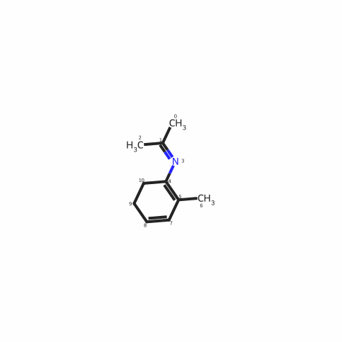 CC(C)=NC1=C(C)C=CCC1